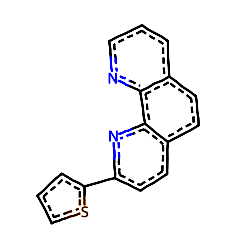 c1csc(-c2ccc3ccc4cccnc4c3n2)c1